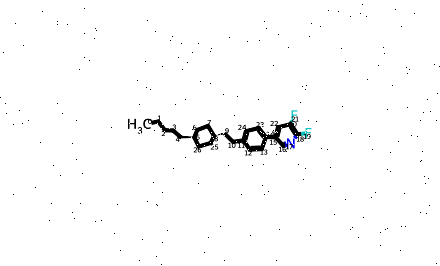 CCCCC[C@H]1CC[C@H](CCc2ccc(-c3cnc(F)c(F)c3)cc2)CC1